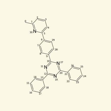 Cc1cccc(-c2ccc(-c3nc(-c4ccccc4)nc(-c4ccccc4)n3)cc2)n1